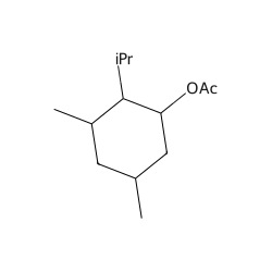 CC(=O)OC1CC(C)CC(C)C1C(C)C